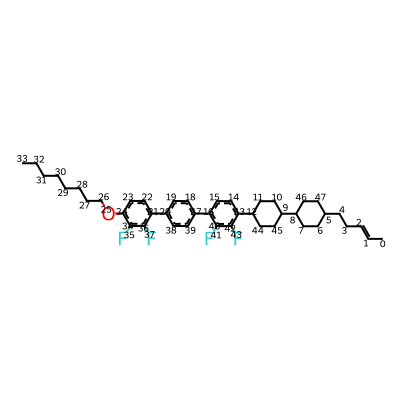 C/C=C/CCC1CCC(C2CCC(c3ccc(-c4ccc(-c5ccc(OCCCCCCCC)c(F)c5F)cc4)c(F)c3F)CC2)CC1